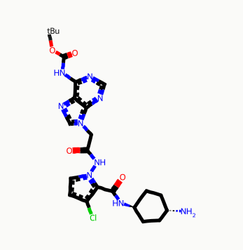 CC(C)(C)OC(=O)Nc1ncnc2c1ncn2CC(=O)Nn1ccc(Cl)c1C(=O)N[C@H]1CC[C@H](N)CC1